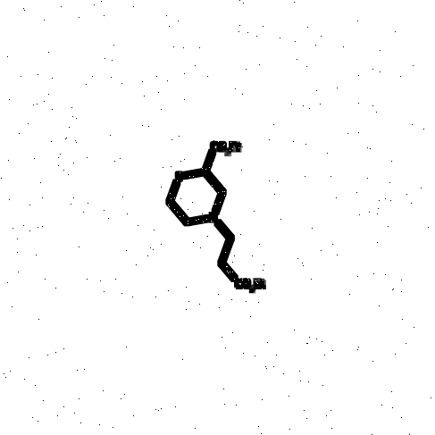 CCOC(=O)CCN1CCSC(C(=O)OCC)C1